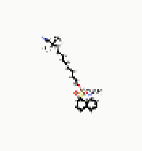 CN(C)c1cccc2cccc(S(=O)(=O)OCCCCCCCCCCC(C)(C)C#N)c12